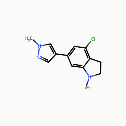 CC(C)N1CCc2c(Cl)cc(-c3cnn(C)c3)cc21